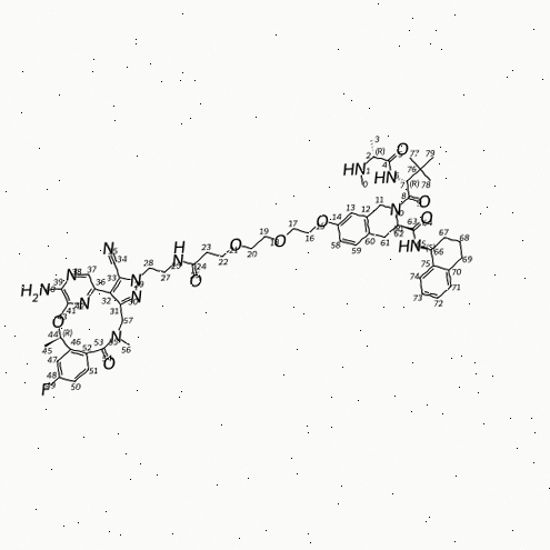 CN[C@H](C)C(=O)N[C@@H](C(=O)N1Cc2cc(OCCOCCOCCC(=O)NCCn3nc4c(c3C#N)-c3cnc(N)c(n3)O[C@H](C)c3cc(F)ccc3C(=O)N(C)C4)ccc2C[C@@H]1C(=O)N[C@H]1CCCc2ccccc21)C(C)(C)C